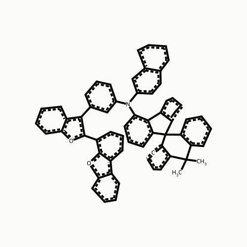 CC1(C)c2ccccc2C2(c3ccccc3-c3c(N(c4cccc(-c5c(-c6cccc7c6oc6ccccc67)oc6ccccc56)c4)c4ccc5ccccc5c4)cccc32)c2ccccc21